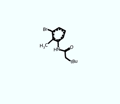 Cc1c(Br)cccc1NC(=O)CC(C)(C)C